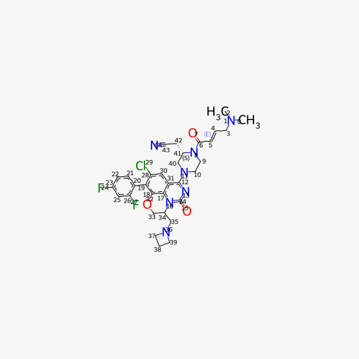 CN(C)C/C=C/C(=O)N1CCN(c2nc(=O)n3c4c(c(-c5ccc(F)cc5F)c(Cl)cc24)OCC3CN2CCC2)C[C@@H]1CC#N